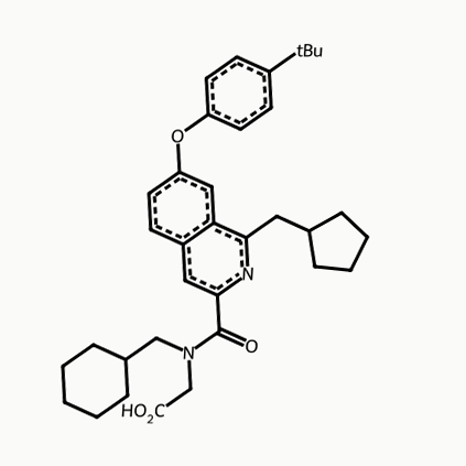 CC(C)(C)c1ccc(Oc2ccc3cc(C(=O)N(CC(=O)O)CC4CCCCC4)nc(CC4CCCC4)c3c2)cc1